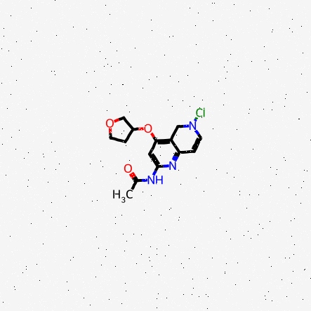 CC(=O)Nc1cc(OC2CCOC2)c2c(n1)C=CN(Cl)C2